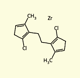 CC1=CCC(Cl)=C1CCC1=C(Cl)CC=C1C.[Zr]